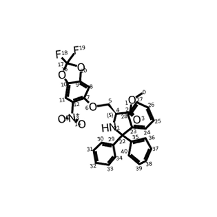 COC(=O)[C@H](COc1cc2c(cc1[N+](=O)[O-])OC(F)(F)O2)NC(c1ccccc1)(c1ccccc1)c1ccccc1